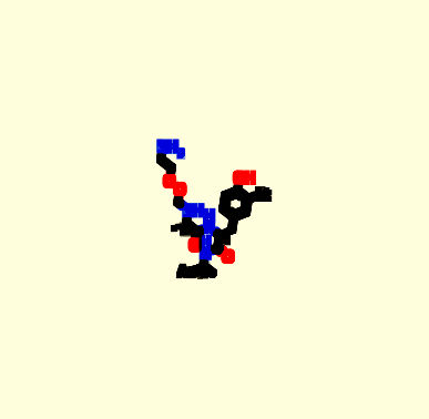 CCc1cc(C[C@H](NC(=O)[C@H](C)NCOOCCN)C(=O)N[C@@H](C)C(C)=O)ccc1O